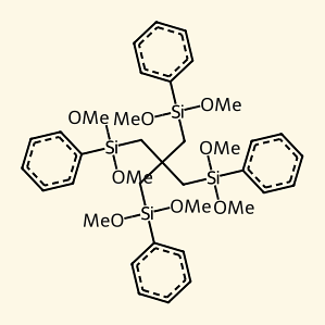 CO[Si](CC(C[Si](OC)(OC)c1ccccc1)(C[Si](OC)(OC)c1ccccc1)C[Si](OC)(OC)c1ccccc1)(OC)c1ccccc1